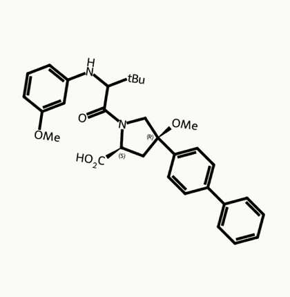 COc1cccc(NC(C(=O)N2C[C@](OC)(c3ccc(-c4ccccc4)cc3)C[C@H]2C(=O)O)C(C)(C)C)c1